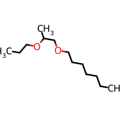 CCCCCCCOCC(C)OCCC